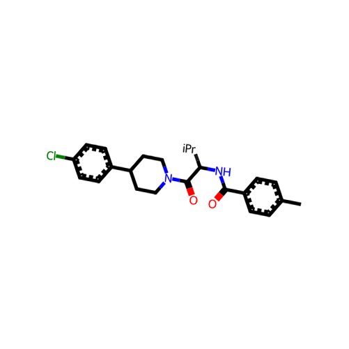 Cc1ccc(C(=O)NC(C(=O)N2CCC(c3ccc(Cl)cc3)CC2)C(C)C)cc1